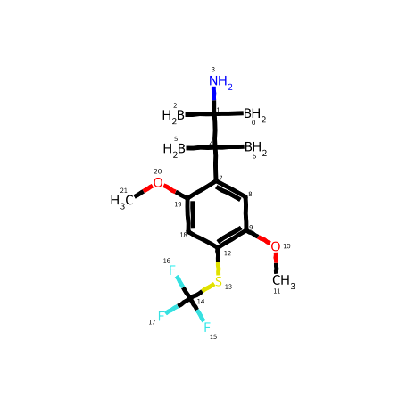 BC(B)(N)C(B)(B)c1cc(OC)c(SC(F)(F)F)cc1OC